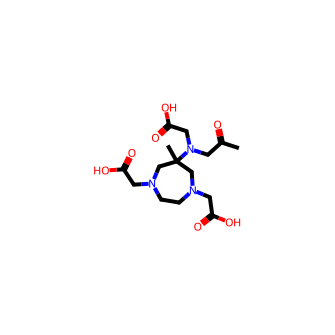 CC(=O)CN(CC(=O)O)C1(C)CN(CC(=O)O)CCN(CC(=O)O)C1